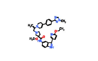 C=C(CN1CC[C@@](OC)(C(=O)Nc2ccc3[nH]nc(-c4ccc(OCC)nc4)c3c2)C1)N1CC=C(c2ccc(-c3ncn(C)n3)cc2)CC1